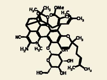 COC(=O)/C(C)=C\CC12OC(C)(C)C3CC(C1=O)C1C(C#N)=C(N)N(C)C4=C1C32Oc1c(CC=C(C)C)c2c(c(O[C@H]3O[C@@H](CO)[C@H](O)[C@@H](O)[C@@H]3O)c14)C=CC(C)(CCC=C(C)C)O2